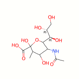 CC(=O)NC1C(O)C(C)C(O)(C(=O)O)OC1[C@H](O)[C@H](O)CO